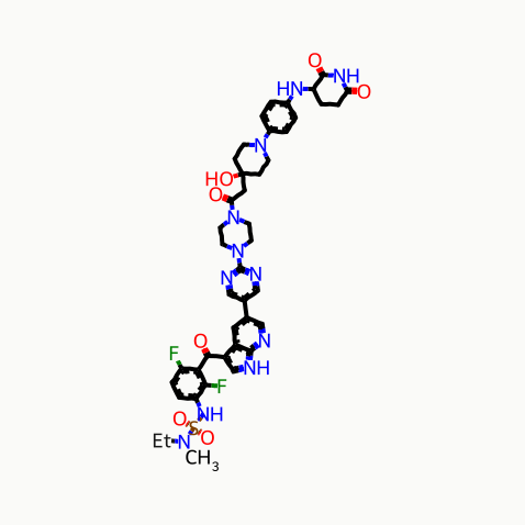 CCN(C)S(=O)(=O)Nc1ccc(F)c(C(=O)c2c[nH]c3ncc(-c4cnc(N5CCN(C(=O)CC6(O)CCN(c7ccc(NC8CCC(=O)NC8=O)cc7)CC6)CC5)nc4)cc23)c1F